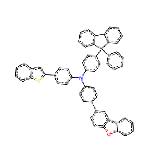 c1ccc(C2(c3ccc(N(c4ccc(-c5ccc6oc7ccccc7c6c5)cc4)c4ccc(-c5cc6ccccc6s5)cc4)cc3)c3ccccc3-c3ccccc32)cc1